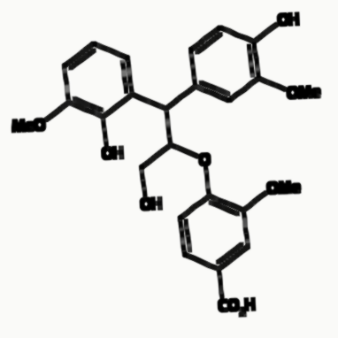 COc1cc(C(c2cccc(OC)c2O)C(CO)Oc2ccc(C(=O)O)cc2OC)ccc1O